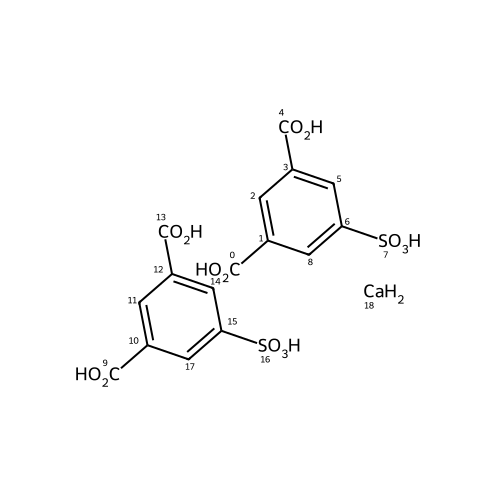 O=C(O)c1cc(C(=O)O)cc(S(=O)(=O)O)c1.O=C(O)c1cc(C(=O)O)cc(S(=O)(=O)O)c1.[CaH2]